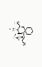 CCC1(C)C(C)C(O)CC2(CCCCC2)N1CCO